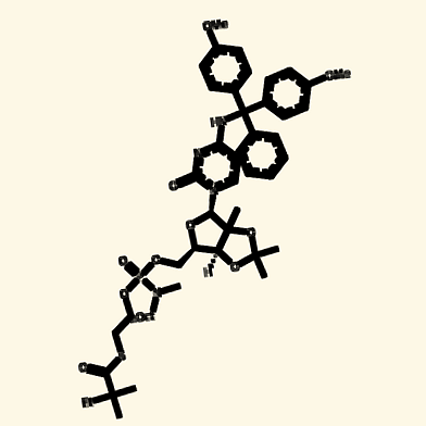 CCCCCCCCN(C)P(=O)(OCCSC(=O)C(C)(C)CC)OC[C@H]1O[C@@H](n2ccc(NC(c3ccccc3)(c3ccc(OC)cc3)c3ccc(OC)cc3)nc2=O)C2(C)OC(C)(C)O[C@@H]12